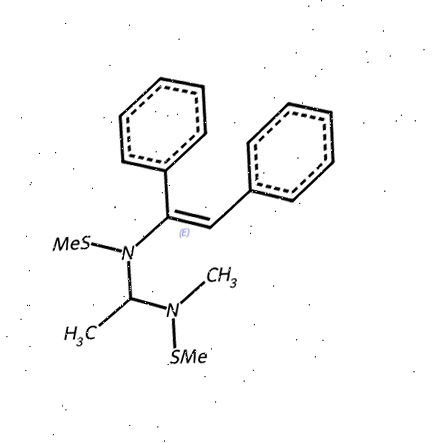 CSN(C)C(C)N(SC)/C(=C/c1ccccc1)c1ccccc1